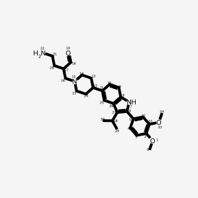 COc1ccc(-c2[nH]c3ccc(C4CCN(CC(C=O)CCN)CC4)cc3c2C(C)C)cc1OC